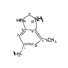 Cc1cc(C)c2c(c1)N[CH]N2